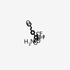 NC(=O)c1cc(-c2ccc(C=CC3CCOCC3)cc2)c(C(F)(F)F)[nH]c1=O